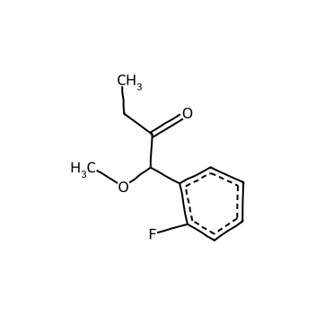 CCC(=O)C(OC)c1ccccc1F